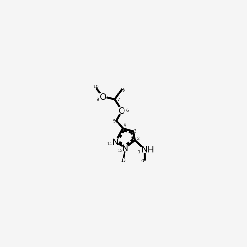 CNc1cc(COC(C)OC)nn1C